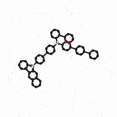 c1ccc(-c2ccc(-c3ccc(N(c4ccc(-c5ccc(-n6c7ccccc7c7cc8ccccc8cc76)cc5)cc4)c4ccccc4-c4ccccc4)cc3)cc2)cc1